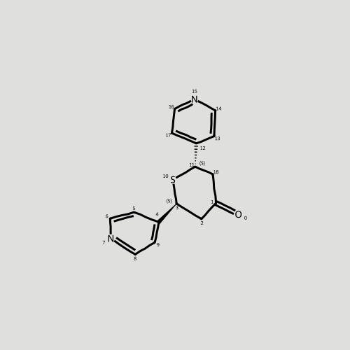 O=C1C[C@@H](c2ccncc2)S[C@H](c2ccncc2)C1